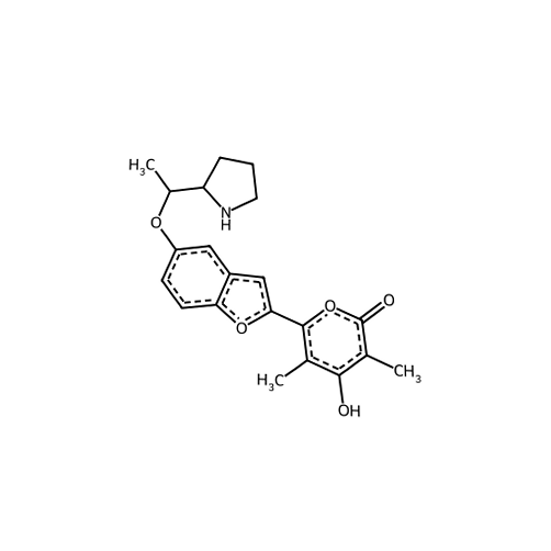 Cc1c(-c2cc3cc(OC(C)C4CCCN4)ccc3o2)oc(=O)c(C)c1O